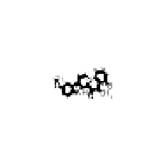 C=C(C(=O)c1nccc2c1[nH]c1ccc(OC)cc12)c1ccccc1Cl